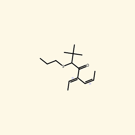 C/C=C\C(=C/C)C(=O)C(SCCC)C(C)(C)C